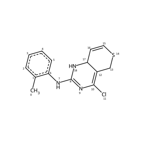 Cc1ccccc1NC1=NC(Cl)=C2CSC=CC2N1